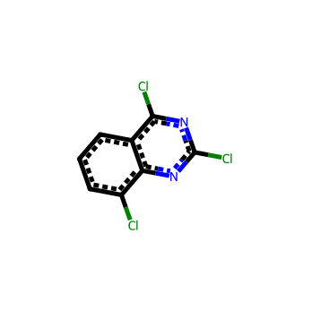 Clc1nc(Cl)c2cccc(Cl)c2n1